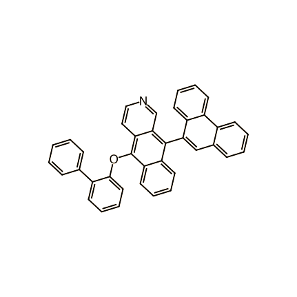 c1ccc(-c2ccccc2Oc2c3ccccc3c(-c3cc4ccccc4c4ccccc34)c3cnccc23)cc1